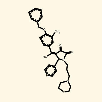 Cc1cc(/C(O)=C2\C(=O)C(=O)N(CCCN3CCOCC3)C2c2ccncc2)ccc1OCc1ccccc1